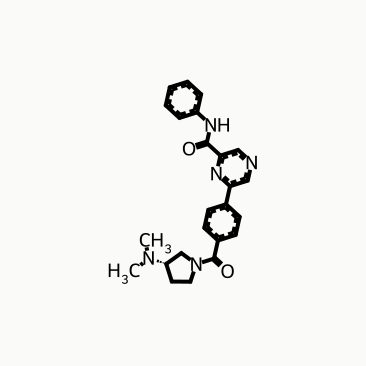 CN(C)[C@H]1CCN(C(=O)c2ccc(-c3cncc(C(=O)Nc4ccccc4)n3)cc2)C1